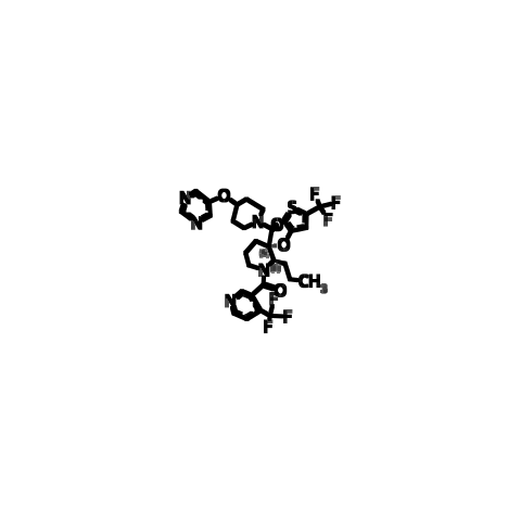 CCC[C@H]1N(C(=O)c2cnccc2C(F)(F)F)CCC[C@@]1(Oc1csc(C(F)(F)F)c1)C(=O)N1CCC(Oc2cncnc2)CC1